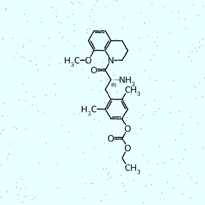 CCOC(=O)Oc1cc(C)c(C[C@@H](N)C(=O)N2CCCc3cccc(OC)c32)c(C)c1